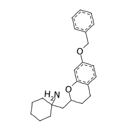 NC1(CC2CCc3ccc(OCc4ccccc4)cc3O2)CCCCC1